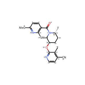 COc1ccc(C(=O)N2C[C@H](Oc3nccc(C#N)c3C)CC[C@H]2C)c(SC)n1